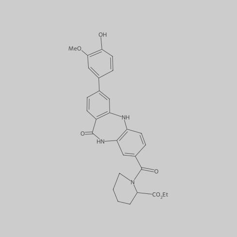 CCOC(=O)C1CCCCN1C(=O)c1ccc2c(c1)NC(=O)c1ccc(-c3ccc(O)c(OC)c3)cc1N2